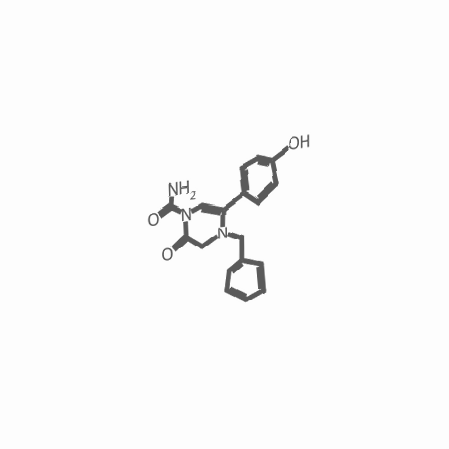 NC(=O)N1C=C(c2ccc(O)cc2)N(Cc2ccccc2)CC1=O